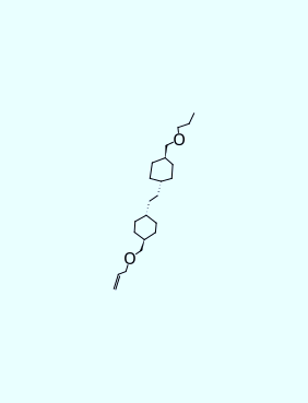 C=CCOC[C@H]1CC[C@H](CC[C@H]2CC[C@H](COCCC)CC2)CC1